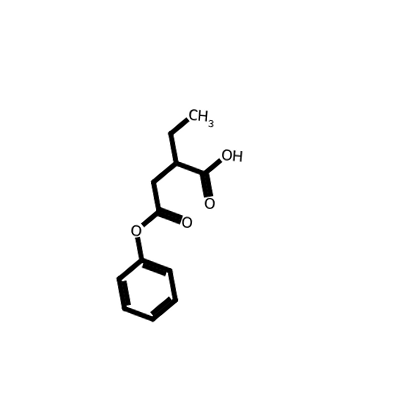 CCC(CC(=O)Oc1ccccc1)C(=O)O